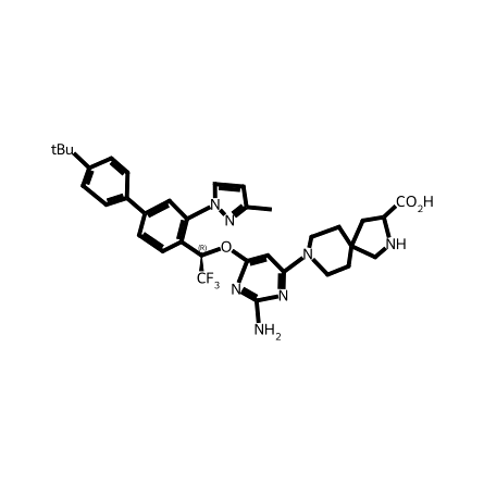 Cc1ccn(-c2cc(-c3ccc(C(C)(C)C)cc3)ccc2[C@@H](Oc2cc(N3CCC4(CC3)CNC(C(=O)O)C4)nc(N)n2)C(F)(F)F)n1